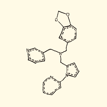 c1ccc(-n2cccc2CN(Cc2cccnc2)Cc2ccc3c(c2)OCO3)nc1